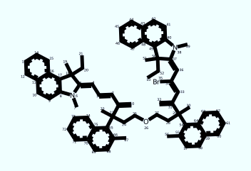 C=C(C=CC=C1N(C)c2ccc3ccccc3c2C1(C)CC)C(C)(CCOCCC(C)(C(=C)/C=C(\Br)C=C1N(C)c2ccc3ccccc3c2C1(C)CC)c1c(C)ccc2ccccc12)c1c(C)ccc2ccccc12